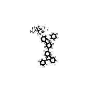 CC1(C)OB(c2ccc3c4cc(-c5ccc6c(c5)c5ccccc5n6-c5ccccc5)ccc4n(-c4ccccc4)c3c2)OC1(C)C